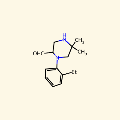 CCc1ccccc1N1CC(C)(C)NCC1C=O